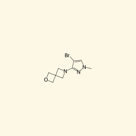 Cn1cc(Br)c(N2CC3(COC3)C2)n1